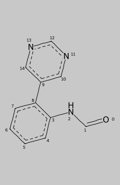 O=CNc1ccccc1-c1cncnc1